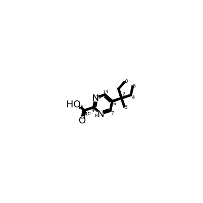 CCC(C)(CC)c1cnc(C(=O)O)nc1